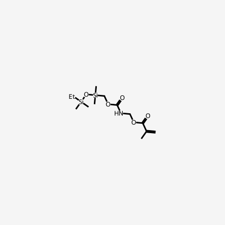 C=C(C)C(=O)OCNC(=O)OC[Si](C)(C)O[Si](C)(C)CC